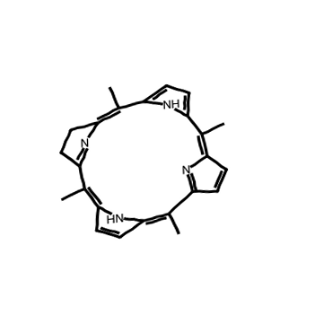 Cc1c2nc(c(C)c3ccc([nH]3)c(C)c3nc(c(C)c4ccc1[nH]4)CC3)C=C2